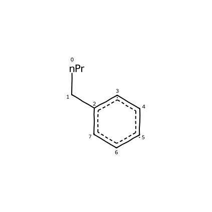 CCCCc1[c]c[c]cc1